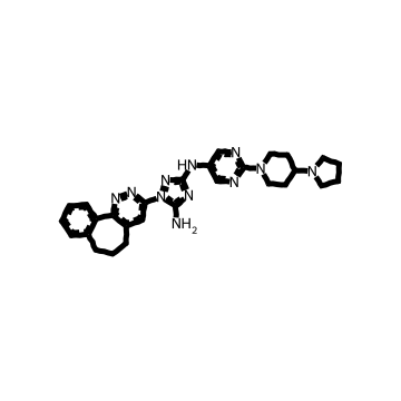 Nc1nc(Nc2cnc(N3CCC(N4CCCC4)CC3)nc2)nn1-c1cc2c(nn1)-c1ccccc1CCC2